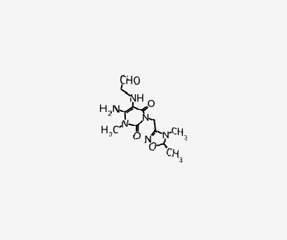 CC1ON=C(Cn2c(=O)c(NCC=O)c(N)n(C)c2=O)N1C